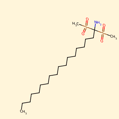 CCCCCCCCCCCCCCCCCC(N)(S(C)(=O)=O)S(C)(=O)=O